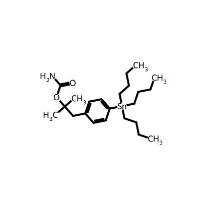 CCC[CH2][Sn]([CH2]CCC)([CH2]CCC)[c]1ccc(CC(C)(C)OC(N)=O)cc1